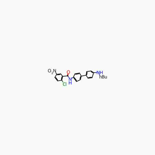 CCCCNc1ccc(-c2ccc(NC(=O)c3cc([N+](=O)[O-])ccc3Cl)cc2)cc1